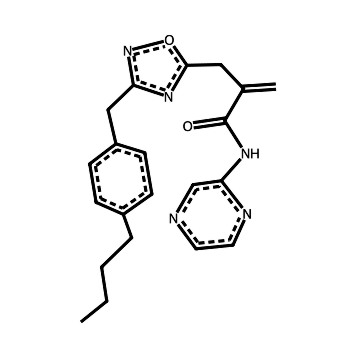 C=C(Cc1nc(Cc2ccc(CCCC)cc2)no1)C(=O)Nc1cnccn1